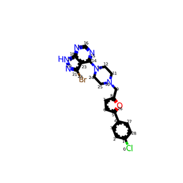 Clc1ccc(-c2ccc(CN3CCN(c4ncnc5[nH]nc(Br)c45)CC3)o2)cc1